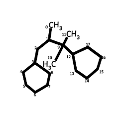 CC(CC1CCCCC1)C(C)(C)C1CCCCC1